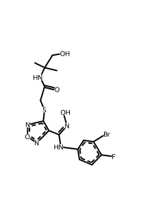 CC(C)(CO)NC(=O)CSc1nonc1C(=NO)Nc1ccc(F)c(Br)c1